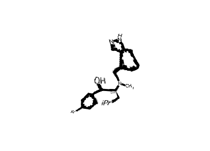 CC(C)C[C@@H](C(O)c1ccc(Br)cc1)N(C)Cc1cccc2[nH]ncc12